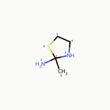 CC1(N)NCCS1